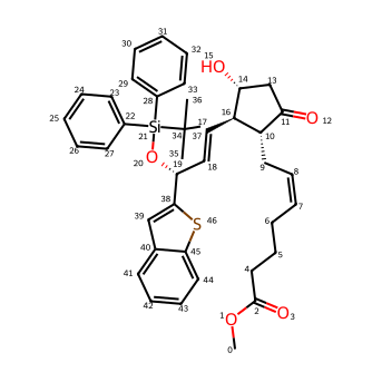 COC(=O)CCC/C=C\C[C@H]1C(=O)C[C@@H](O)[C@@H]1/C=C/[C@@H](O[Si](c1ccccc1)(c1ccccc1)C(C)(C)C)c1cc2ccccc2s1